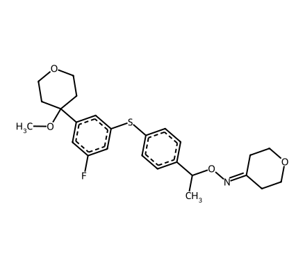 COC1(c2cc(F)cc(Sc3ccc(C(C)ON=C4CCOCC4)cc3)c2)CCOCC1